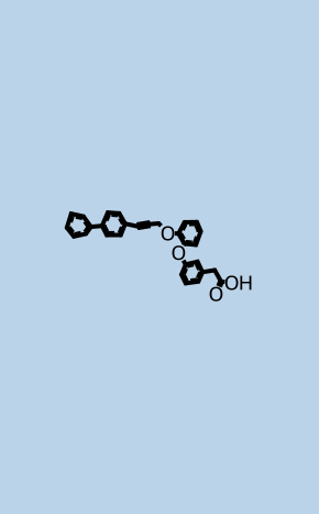 O=C(O)Cc1cccc(Oc2ccccc2OCC#Cc2ccc(-c3ccccc3)cc2)c1